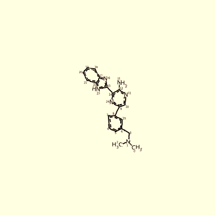 CN(C)Cc1cccc(-c2cnc(N)c(-c3nc4ccccc4[nH]3)n2)c1